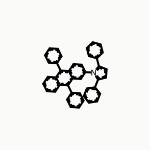 c1ccc(-c2c3ccccc3c(-c3ccccc3)c3cc(-n4c(-c5ccccc5)ccc4-c4ccccc4)ccc23)cc1